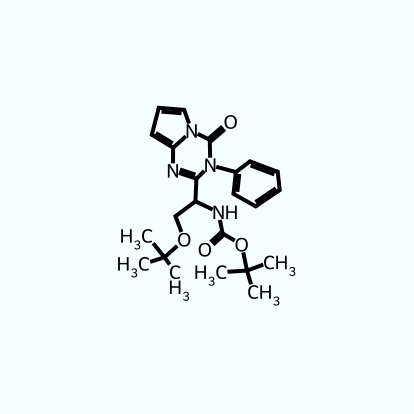 CC(C)(C)OCC(NC(=O)OC(C)(C)C)c1nc2cccn2c(=O)n1-c1ccccc1